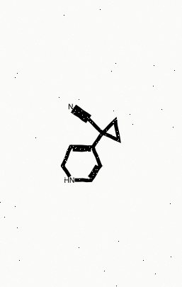 N#CC1(C2=CCNC=[C]2)CC1